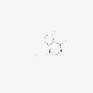 CCn1nnc2c(OC)ccc(Br)c21